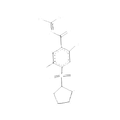 Cc1cc(S(=O)(=O)C2CCCC2)c(C(F)(F)F)cc1C(=O)N=C(N)N